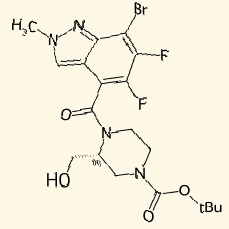 Cn1cc2c(C(=O)N3CCN(C(=O)OC(C)(C)C)C[C@@H]3CO)c(F)c(F)c(Br)c2n1